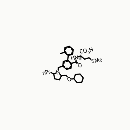 CCCC1CCC(COC2CCCCC2)N1Cc1ccc(C(=O)N[C@@H](CCSC)C(=O)O)c(-c2ccccc2C)c1